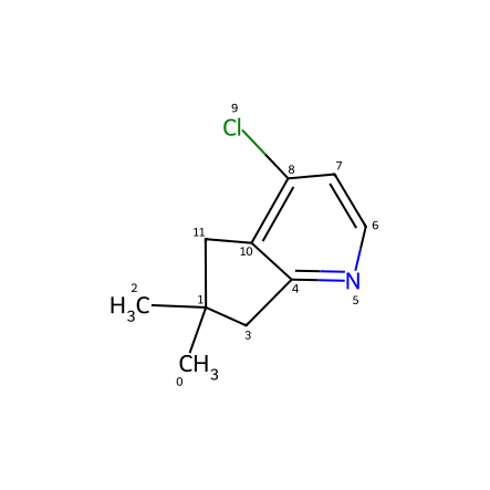 CC1(C)Cc2nccc(Cl)c2C1